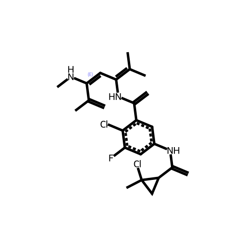 C=C(C)/C(=C\C(NC(=C)c1cc(NC(=C)C2CC2(C)Cl)cc(F)c1Cl)=C(C)C)NC